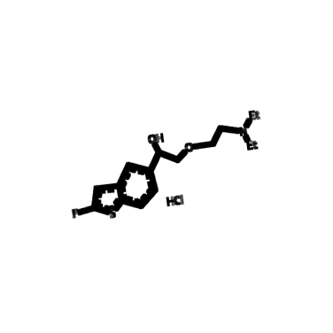 CCN(CC)CCOCC(O)c1ccc2sc(F)cc2c1.Cl